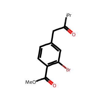 COC(=O)c1ccc(CC(=O)C(C)C)cc1Br